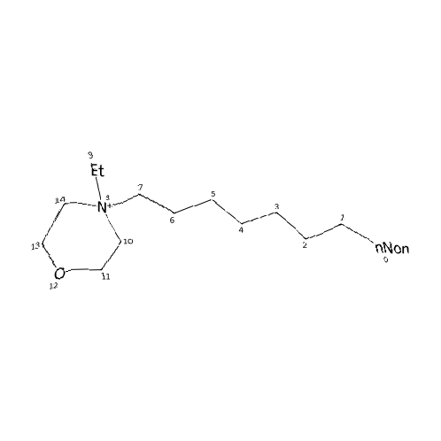 CCCCCCCCCCCCCCCC[N+]1(CC)CCOCC1